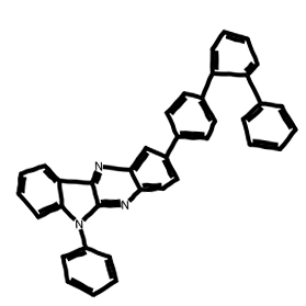 c1ccc(-c2ccccc2-c2ccc(-c3ccc4nc5c(nc4c3)c3ccccc3n5-c3ccccc3)cc2)cc1